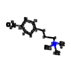 CC[N+](CC)(CC)CCCc1ccc([N+](=O)[O-])cc1